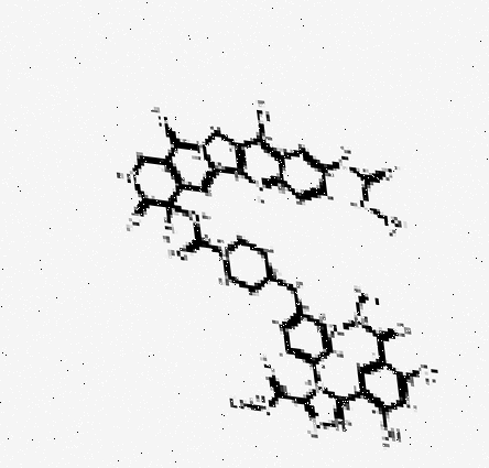 CCCCN(C)C(=O)c1cc(-c2nnc(C(=O)NCC)n2-c2ccc(CC3CCN(C(=O)OC4(CC)C(=O)OCc5c4cc4n(c5=O)Cc5c-4nc4ccc(OC(=O)OC(C)(C)C)cc4c5CC)CC3)cc2)c(O)cc1O